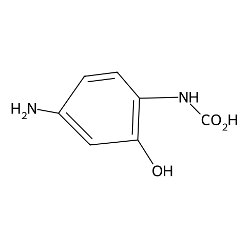 Nc1ccc(NC(=O)O)c(O)c1